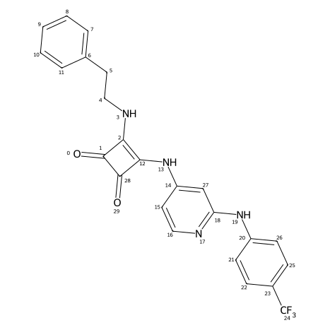 O=c1c(NCCc2ccccc2)c(Nc2ccnc(Nc3ccc(C(F)(F)F)cc3)c2)c1=O